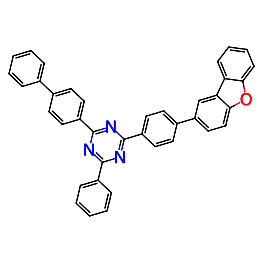 c1ccc(-c2ccc(-c3nc(-c4ccccc4)nc(-c4ccc(-c5ccc6oc7ccccc7c6c5)cc4)n3)cc2)cc1